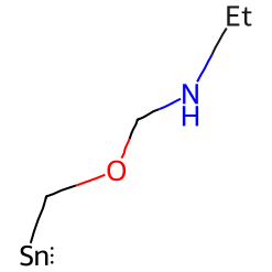 CCNCO[CH2][Sn]